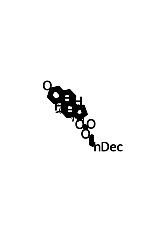 CCCCCCCCCCCCOC(=O)O[C@H]1CC[C@H]2[C@@H]3CCC4=CC(=O)CC[C@@H]4[C@H]3[C@@H](C)C[C@]12C